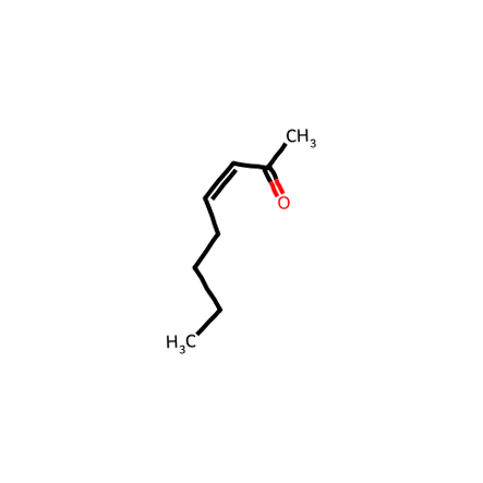 CCCC/C=C\C(C)=O